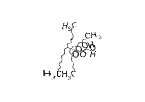 CCCCCCCCC(CCCCCCC)C(CCCCCCC)(CCCCCCC)C(=O)OC(=O)C(O)CO